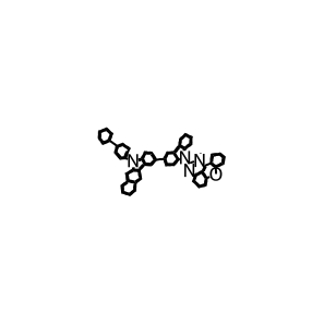 CN1C2=c3c(cccc3=NC1n1c3ccccc3c3cc(-c4ccc5c(c4)c4cc6ccccc6cc4n5-c4ccc(-c5ccccc5)cc4)ccc31)Oc1ccccc12